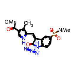 CNS(=O)(=O)c1ccc2c(c1)C(=Cc1[nH]cc(C(=O)OC)c1C)C(=O)N2.[N-]=[N+]=[N-]